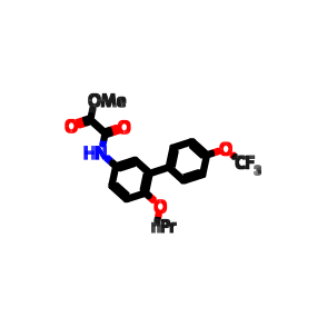 CCCOc1ccc(NC(=O)C(=O)OC)cc1-c1ccc(OC(F)(F)F)cc1